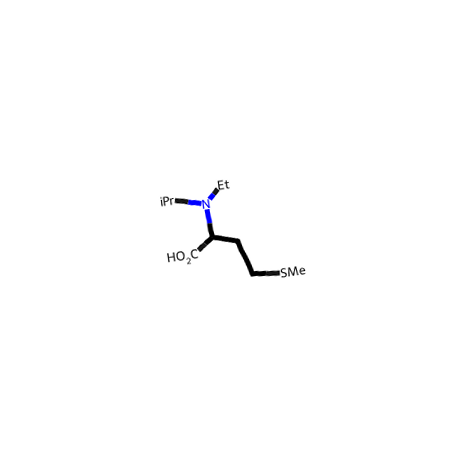 CCN(C(C)C)C(CCSC)C(=O)O